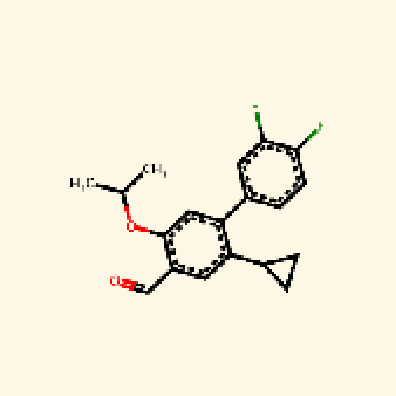 CC(C)Oc1cc(-c2ccc(F)c(F)c2)c(C2CC2)cc1C=O